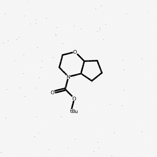 CC(C)(C)OC(=O)N1CCOC2CCCC21